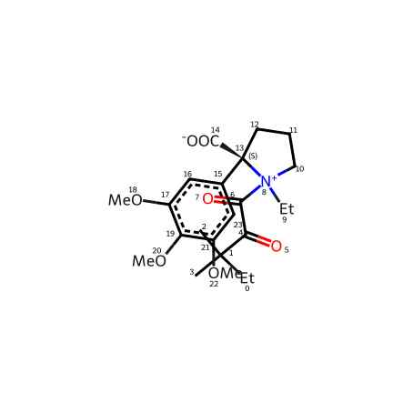 CCC(C)(C)C(=O)C(=O)[N+]1(CC)CCC[C@@]1(C(=O)[O-])c1cc(OC)c(OC)c(OC)c1